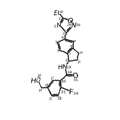 CCc1nc(-c2ccc3c(c2)CC[C@H]3NC(=O)c2cc(CO)ccc2F)no1